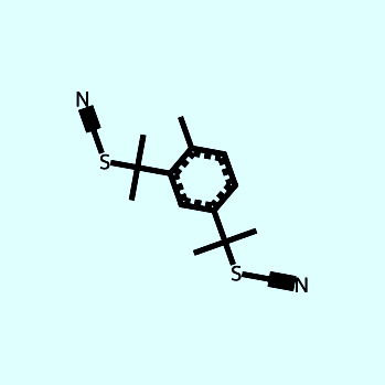 Cc1ccc(C(C)(C)SC#N)cc1C(C)(C)SC#N